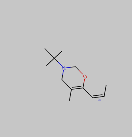 C/C=C\C1=C(C)CN(C(C)(C)C)CO1